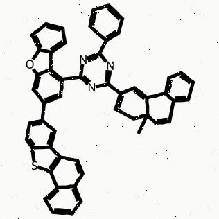 CC12C=Cc3ccccc3C1=CC(c1nc(-c3ccccc3)nc(-c3cc(-c4ccc5sc6c7ccccc7ccc6c5c4)cc4oc5ccccc5c34)n1)=CC2